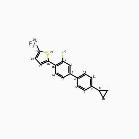 Fc1cc(-c2ccc(C3CC3)cc2)ccc1-c1ccc(C(F)(F)F)s1